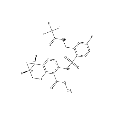 COC(=O)c1c(NS(=O)(=O)c2ccc(F)cc2CNC(=O)C(F)(F)F)ccc2c1OC[C@@H]1C[C@H]21